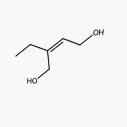 CC/C(=C/CO)CO